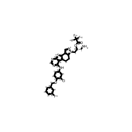 NC[C@H](Cn1ncc2c1CCc1c-2sc2ncnc(Nc3ccc(OCc4cccc(F)c4)c(Cl)c3)c12)OC(=O)C(F)(F)F